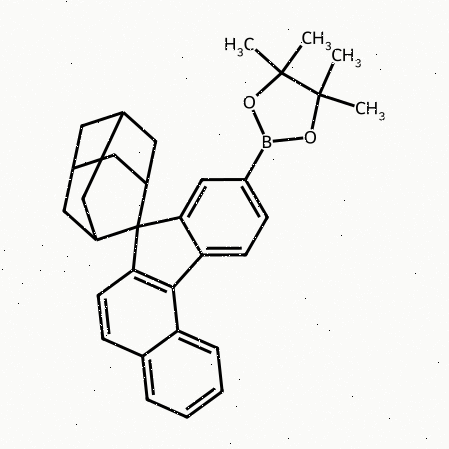 CC1(C)OB(c2ccc3c(c2)C2(c4ccc5ccccc5c4-3)C3CC4CC(C3)CC2C4)OC1(C)C